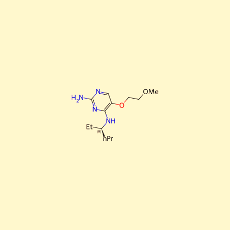 CCC[C@@H](CC)Nc1nc(N)ncc1OCCOC